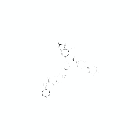 CCc1cc(CC(NC(=O)ON2CCC(N3Cc4ccccc4NC3=O)CC2)C(=O)N2CCC(N3CCCCC3)CC2)cc2oc(=O)[nH]c12